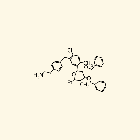 CC[C@H]1O[C@@H](c2cc(Cc3ccc(CCN)cc3)c(Cl)cc2C)[C@H](OCc2ccccc2)[C@@H](OCc2ccccc2)[C@@H]1C